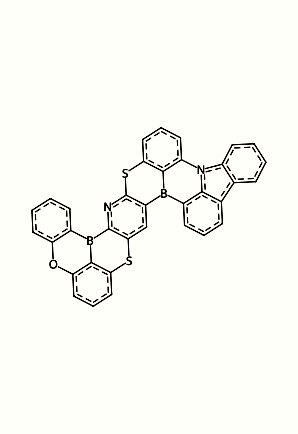 c1ccc2c(c1)Oc1cccc3c1B2c1nc2c(cc1S3)B1c3c(cccc3-n3c4ccccc4c4cccc1c43)S2